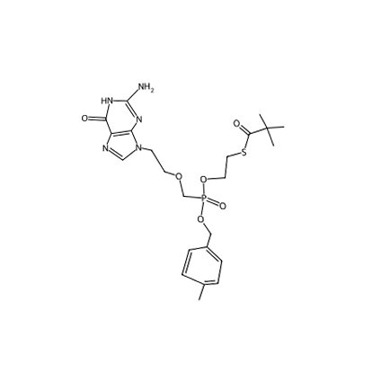 Cc1ccc(COP(=O)(COCCn2cnc3c(=O)[nH]c(N)nc32)OCCSC(=O)C(C)(C)C)cc1